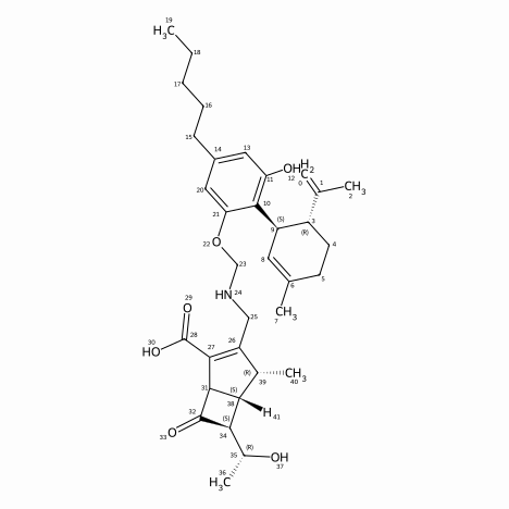 C=C(C)[C@@H]1CCC(C)=C[C@H]1c1c(O)cc(CCCCC)cc1OCNCC1=C(C(=O)O)C2C(=O)[C@H]([C@@H](C)O)[C@H]2[C@H]1C